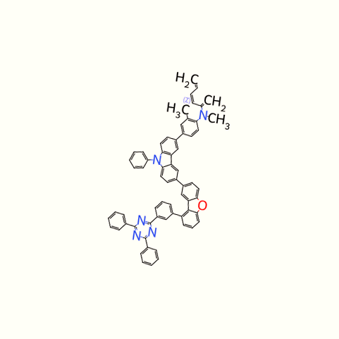 C=C/C=C\C(=C)N(C)c1ccc(-c2ccc3c(c2)c2cc(-c4ccc5oc6cccc(-c7cccc(-c8nc(-c9ccccc9)nc(-c9ccccc9)n8)c7)c6c5c4)ccc2n3-c2ccccc2)cc1C